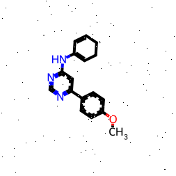 COc1ccc(-c2cc(NC3=CC[CH]C=C3)ncn2)cc1